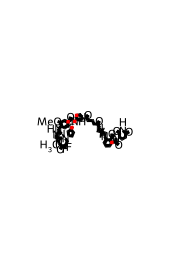 COc1cc(C(=O)N[C@@H]2CCN(C(=O)CCCC(=O)N3CC4(C3)CN(c3cccc5c3C(=O)N(C3CCC(=O)NC3=O)C5=O)C4)C2)c(F)cc1Nc1ncc2c(n1)N(C1CCCC1)CC(F)(F)C(=O)N2C